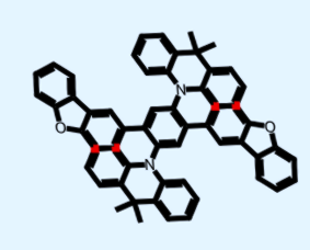 CC1(C)c2ccccc2N(c2cc(-c3ccc4oc5ccccc5c4c3)c(N3c4ccccc4C(C)(C)c4ccccc43)cc2-c2ccc3oc4ccccc4c3c2)c2ccccc21